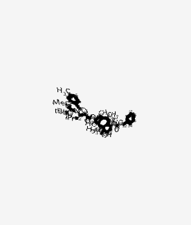 COc1cc(C)ccc1C1O[C@@H](C(=O)OC2C[C@@]3(O)[C@@H](C)[C@@H]4[C@]5(C)CO[C@@H]5C[C@H](OC(=O)OCc5ccccc5)[C@@]4(C)C(=O)C(C)C(=C2C)C3(C)C)[C@H](CC(C)C)N1C(=O)OC(C)(C)C